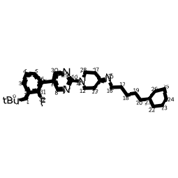 CC(C)(C)Cc1cccc(-c2cnc(N3CCC(=NCCCCCC4CCCCC4)CC3)nc2)c1F